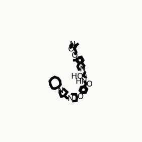 Cc1ncoc1COc1ccc2c(c1C)CCN(C[C@@H](O)CNC(=O)c1ccc(OC3CCN(CC4CCN(C5CCCCCCCCC5)CC4)CC3)cc1)C2